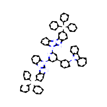 c1ccc([Si](c2ccccc2)(c2ccccc2)c2ccc3nc4n(-c5cc(-c6cccc(-n7c8ccccc8c8ccccc87)c6)cc(-n6c7ccccc7n7c8cc([Si](c9ccccc9)(c9ccccc9)c9ccccc9)ccc8nc67)n5)c5ccccc5n4c3c2)cc1